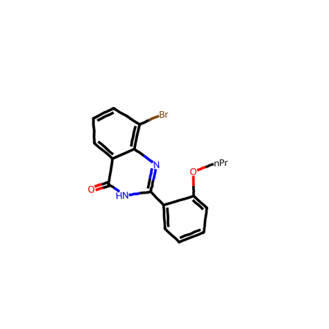 CCCOc1ccccc1-c1nc2c(Br)cccc2c(=O)[nH]1